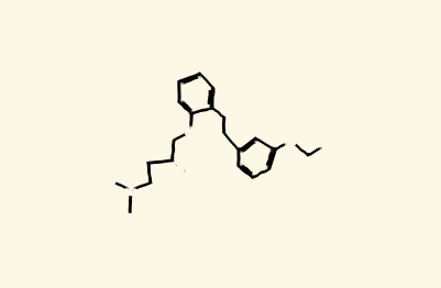 CN(C)CC[C@@H](O)COc1ccccc1CCc1cccc(OCF)c1